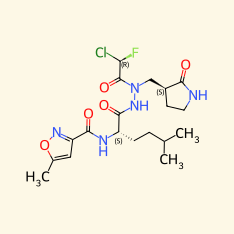 Cc1cc(C(=O)N[C@@H](CCC(C)C)C(=O)NN(C[C@@H]2CCNC2=O)C(=O)[C@H](F)Cl)no1